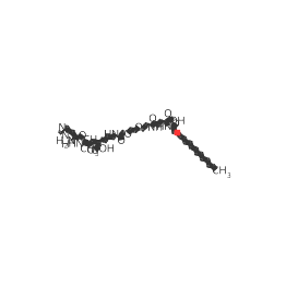 CCCCCCCCCCCCCCCC(=O)N[C@@H](CCC(=O)NCCOCCOCC(=O)NCCCC[C@H](CC(=O)C(C)(C)NC(=O)[C@@H](N)Cc1cnc[nH]1)C(=O)O)C(=O)O